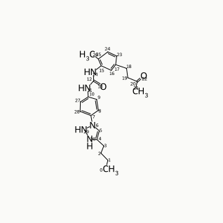 CCCCC1=CN(c2ccc(NC(=O)Nc3cc(CCC(C)=O)ccc3C)cc2)NN1